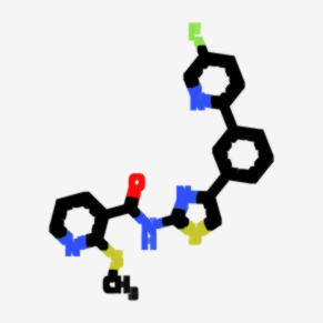 CSc1ncccc1C(=O)Nc1nc(-c2cccc(-c3ccc(F)cn3)c2)cs1